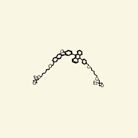 CCC1(COCCCCCOCc2ccc(-c3c4ccccc4c(-c4ccc5oc6cc7ccc(COCCCCCOCC8(CC)COC8)cc7cc6c5c4)c4ccccc34)cc2)COC1